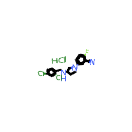 Cl.N#Cc1cc(N2CC[C@H](NCc3ccc(Cl)cc3Cl)C2)ccc1F